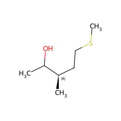 CSCC[C@@H](C)C(C)O